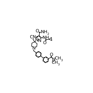 CN(C)C(=O)c1cccc(-c2ccc(CN3CCC(CC#N)(n4cc(C(N)=O)c(NC(=O)C5CC5)n4)CC3)cc2)c1